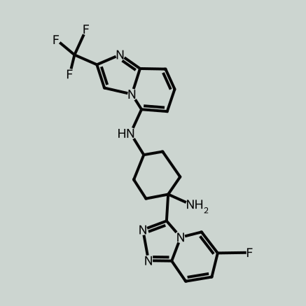 NC1(c2nnc3ccc(F)cn23)CCC(Nc2cccc3nc(C(F)(F)F)cn23)CC1